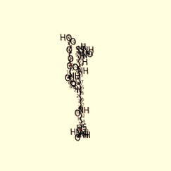 O=C(O)CCOCCOCCOCCNC(=O)c1ccc(CN(CCCCCCNC(=O)CCCC[C@@H]2SC[C@@H]3NC(=O)N[C@@H]32)CCCCCCNC(=O)CCCC[C@@H]2SC[C@@H]3NC(=O)N[C@@H]32)cc1